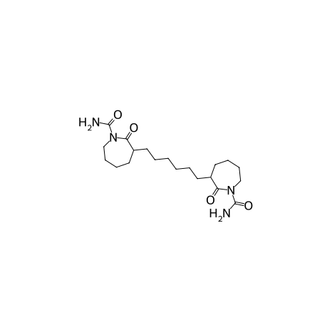 NC(=O)N1CCCCC(CCCCCCC2CCCCN(C(N)=O)C2=O)C1=O